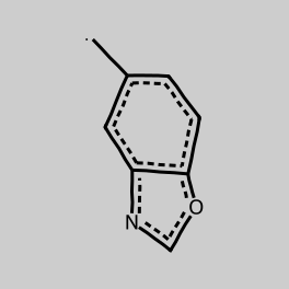 [CH2]c1ccc2ocnc2c1